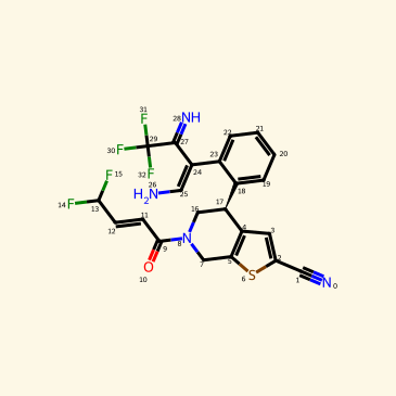 N#Cc1cc2c(s1)CN(C(=O)/C=C/C(F)F)C[C@H]2c1ccccc1/C(=C/N)C(=N)C(F)(F)F